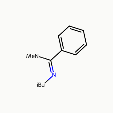 CCC(C)N=C(NC)c1ccccc1